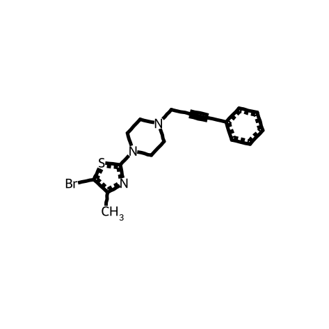 Cc1nc(N2CCN(CC#Cc3ccccc3)CC2)sc1Br